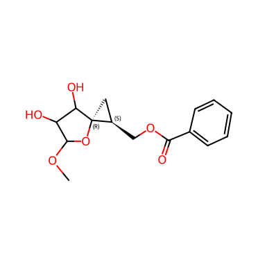 COC1O[C@@]2(C[C@H]2COC(=O)c2ccccc2)C(O)C1O